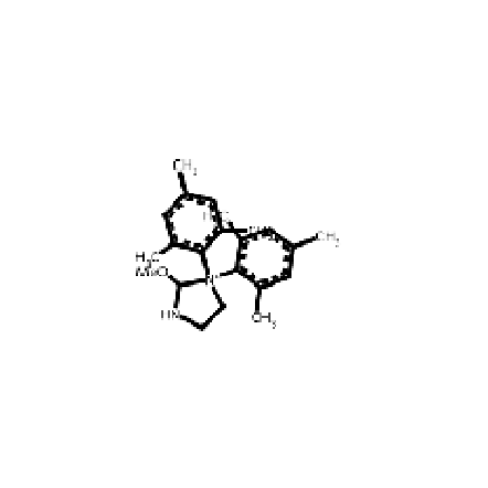 COC1NCC[N+]1(c1c(C)cc(C)cc1C)c1c(C)cc(C)cc1C